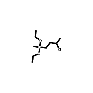 CCO[Si](C)(CCC(C)Cl)OCC